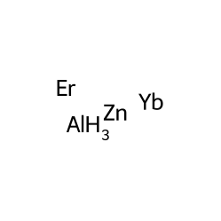 [AlH3].[Er].[Yb].[Zn]